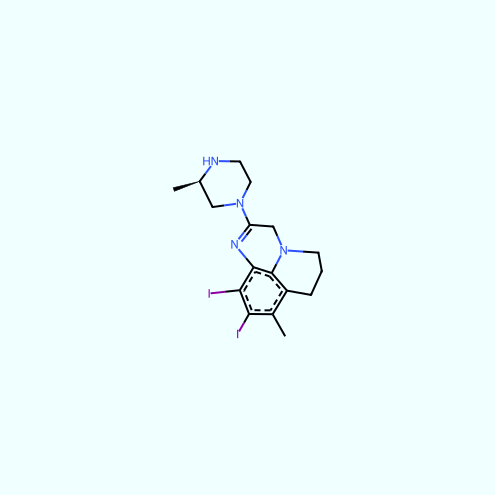 Cc1c(I)c(I)c2c3c1CCCN3CC(N1CCN[C@H](C)C1)=N2